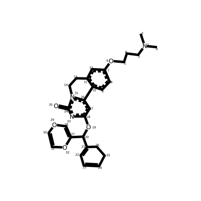 CN(C)CCCOc1ccc2c(c1)CCn1c-2cc(OC(C2=CC=CCC2)C2=COC=CO2)nc1=O